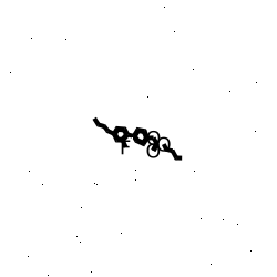 CCCCOC(=O)Oc1ccc(-c2ccc(CCCC)cc2F)cc1